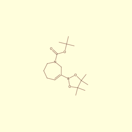 CC(C)(C)OC(=O)N1CCCC=C(B2OC(C)(C)C(C)(C)O2)C1